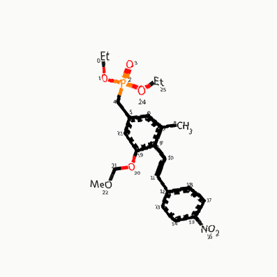 CCOP(=O)(Cc1cc(C)c(/C=C/c2ccc([N+](=O)[O-])cc2)c(OCOC)c1)OCC